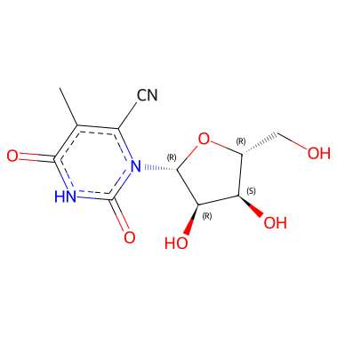 Cc1c(C#N)n([C@@H]2O[C@H](CO)[C@@H](O)[C@H]2O)c(=O)[nH]c1=O